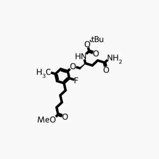 COC(=O)CCCCc1cc(C)cc(OC[C@H](CCC(N)=O)NC(=O)OC(C)(C)C)c1F